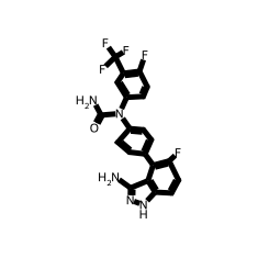 NC(=O)N(c1ccc(-c2c(F)ccc3[nH]nc(N)c23)cc1)c1ccc(F)c(C(F)(F)F)c1